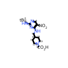 CC(C)(C)Nc1ncc([N+](=O)[O-])c(NCC2CCN(C(=O)O)CC2)n1